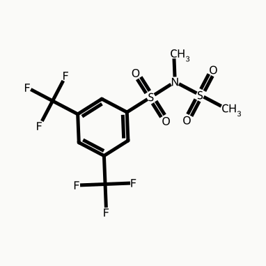 CN(S(C)(=O)=O)S(=O)(=O)c1cc(C(F)(F)F)cc(C(F)(F)F)c1